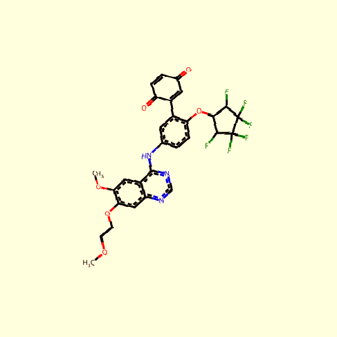 COCCOc1cc2ncnc(Nc3ccc(OC4C(F)C(F)(F)C(F)(F)C4F)c(C4=CC(=O)C=CC4=O)c3)c2cc1OC